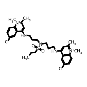 CCCS(=O)(=O)N(CCCNc1cc(C)[n+](C)c2ccc(Cl)cc12)CCCNc1cc(C)[n+](C)c2ccc(Cl)cc12